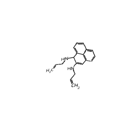 C=CCNC1=Cc2cccc3cccc(c23)C1NCC=C